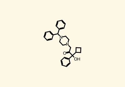 O=C(CN1CCN(C(c2ccccc2)c2ccccc2)CC1)C(O)(c1ccccc1)C1CCC1